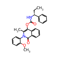 CC[C@H](NC(=O)Oc1c(C)n(-c2ccccc2OC)c(=O)c2ccccc12)c1ccccc1